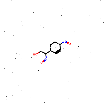 O=NC1C#CC(C(CO)N=O)CC1